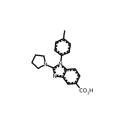 Cc1ccc(-n2c(N3CCCC3)nc3cc(C(=O)O)ccc32)cc1